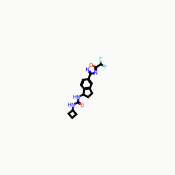 O=C(NC1CCC1)NC1CCc2cc(-c3noc(C(F)F)n3)ccc21